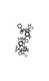 Cc1cc(F)c(C(=O)Nc2cccc(-c3nncn3[C@@H](C)C(F)(F)F)n2)cc1NC(=O)C1CCCC1